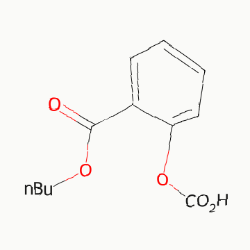 CCCCOC(=O)c1ccccc1OC(=O)O